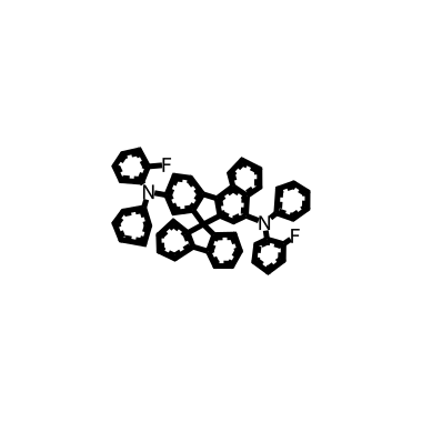 Fc1ccccc1N(c1ccccc1)c1ccc2c(c1)C1(c3ccccc3-c3ccccc31)c1cc(N(c3ccccc3)c3ccccc3F)c3ccccc3c1-2